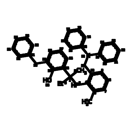 CCC(C)(Pc1c(C)cccc1CN(c1ccccc1)c1ccccc1)c1cccc(Cc2ccccc2)c1O